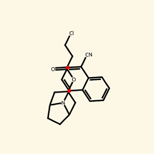 N#Cc1ccc(N2C3CCC2CC(OC(=O)CCCl)C3)c2ccccc12